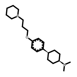 CN(C)[C@H]1CC[C@@H](c2ccc(OCCCN3CCCCC3)cc2)CC1